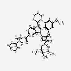 COc1ccc2c(c1)C1CC1(S(=O)(=O)N1C[C@@H](C)N(C)[C@@H](C)C1)Cn1c-2c(C2CCCCC2)c2ccc(C(=O)NS(=O)(=O)N3CCOCC3)cc21